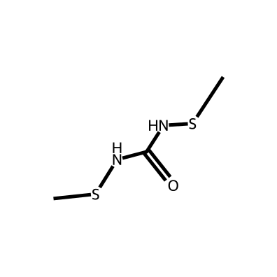 CSNC(=O)NSC